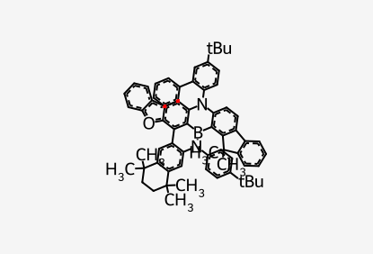 CC(C)(C)c1ccc(N2B3c4c(ccc5c4C(C)(C)c4ccccc4-5)N(c4ccc(C(C)(C)C)cc4-c4ccccc4)c4cc5c(oc6ccccc65)c(c43)-c3cc4c(cc32)C(C)(C)CCC4(C)C)cc1